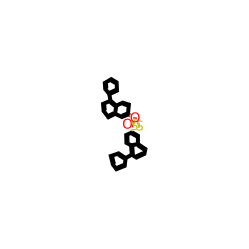 O=S(=S)(Oc1ccc2c(-c3ccccc3)cccc2c1)c1ccc2c(-c3ccccc3)cccc2c1